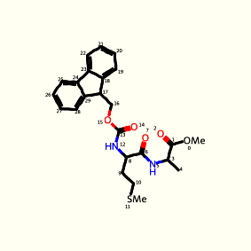 COC(=O)C(C)NC(=O)C(CCSC)NC(=O)OCC1c2ccccc2-c2ccccc21